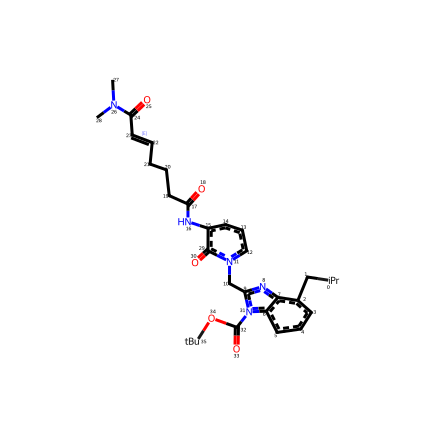 CC(C)Cc1cccc2c1nc(Cn1cccc(NC(=O)CCC/C=C/C(=O)N(C)C)c1=O)n2C(=O)OC(C)(C)C